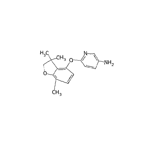 Cc1ccc(Oc2ccc(N)cn2)c2c1OCC2(C)C